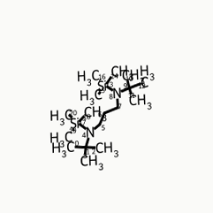 CC(C)(C)N(CCCN(C(C)(C)C)[Si](C)(C)C)[Si](C)(C)C